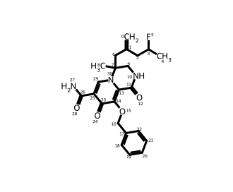 C=C(CC(C)F)CC1(C)CNC(=O)c2c(OCc3ccccc3)c(=O)c(C(N)=O)cn21